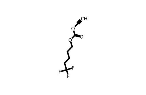 C#COC(=O)OCCCCC(F)(F)F